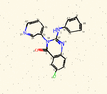 O=c1c2cc(Cl)ccc2nc(Nc2ccccc2)n1-c1cccnc1